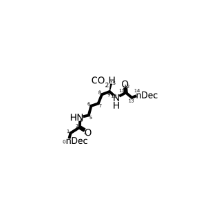 CCCCCCCCCCCC(=O)NCCCC[C@H](NC(=O)CCCCCCCCCCC)C(=O)O